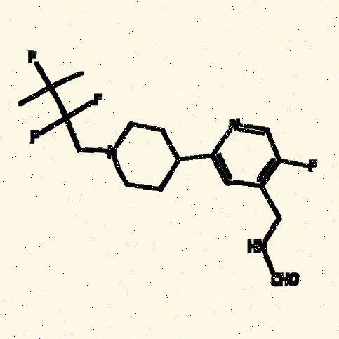 CC(C)(F)C(F)(F)CN1CCC(c2cc(CNC=O)c(F)cn2)CC1